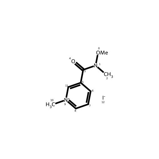 CON(C)C(=O)c1ccc[n+](C)c1.[I-]